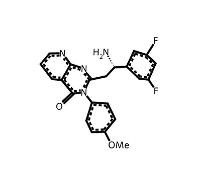 COc1ccc(-n2c(C[C@H](N)c3cc(F)cc(F)c3)nc3ncccc3c2=O)cc1